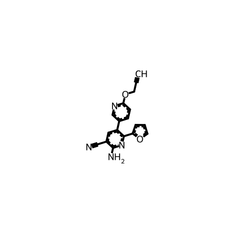 C#CCOc1ccc(-c2cc(C#N)c(N)nc2-c2ccco2)cn1